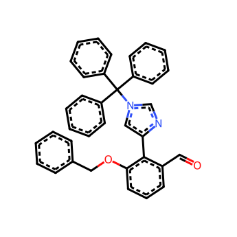 O=Cc1cccc(OCc2ccccc2)c1-c1cn(C(c2ccccc2)(c2ccccc2)c2ccccc2)cn1